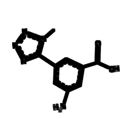 Cn1nnnc1-c1cc(N)cc(C(=O)O)c1